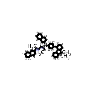 C=C/C(=C\C=C(/C)c1ccc2ccccc2c1)N(c1ccc(-c2cccc3c2-c2ccccc2C3(C)C)cc1)c1ccc2ccccc2c1